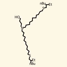 CCCCC(CC)CSCCCCCCCCCCCN(CCCCO)CCCCCCCCCCCSCC(CC)CCCC